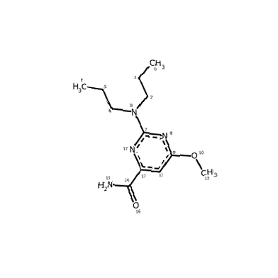 CCCN(CCC)c1nc(OC)cc(C(N)=O)n1